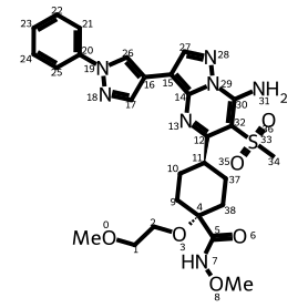 COCCO[C@]1(C(=O)NOC)CC[C@@H](c2nc3c(-c4cnn(-c5ccccc5)c4)cnn3c(N)c2S(C)(=O)=O)CC1